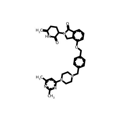 C=C1CCC(N2Cc3c(OCc4ccc(CN5CCN(c6cc(C)nc(C)n6)CC5)cc4)cccc3C2=O)C(=O)N1